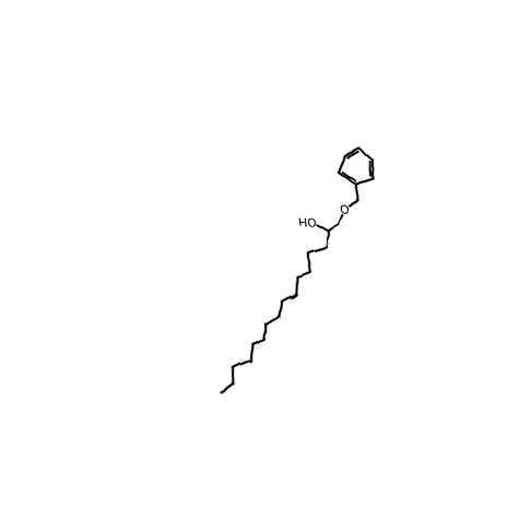 CCCCCCCCCCCCCCC(O)COCc1ccccc1